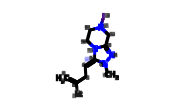 C=C(CC)C/C=C1\N(C)N=C2CN(I)CCN21